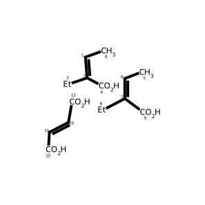 CC=C(CC)C(=O)O.CC=C(CC)C(=O)O.O=C(O)C=CC(=O)O